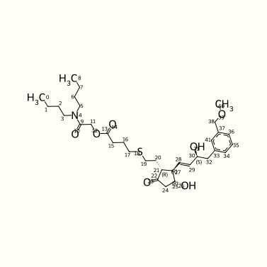 CCCCN(CCCC)C(=O)COC(=O)CCCSCC[C@H]1C(=O)C[C@@H](O)[C@@H]1C=C[C@@H](O)Cc1cccc(COC)c1